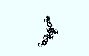 CC(C)(C)OC(=O)N1CCC(c2cc(=O)[nH]c3c(C(=O)NNC(=O)Cc4ccc(Cl)cc4)cnn23)CC1